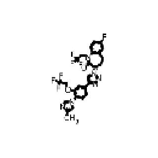 Cc1cn(-c2ccc(-c3cn([C@H]4CCc5cc(F)ccc5N(CC(F)(F)F)C4=O)nn3)cc2OCC(F)(F)F)cn1